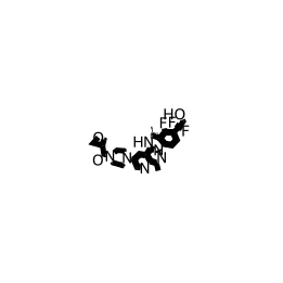 Cc1nnc(N[C@H](C)c2cccc(C(F)(F)CO)c2F)c2cc(N3CCN(C(=O)C4COC4)CC3)cnc12